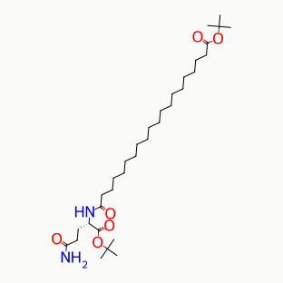 CC(C)(C)OC(=O)CCCCCCCCCCCCCCCCCCC(=O)N[C@@H](CCC(N)=O)C(=O)OC(C)(C)C